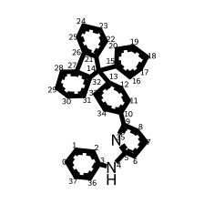 c1ccc(Nc2cccc(-c3ccc(C4(c5ccccc5)c5ccccc5-c5ccccc54)cc3)n2)cc1